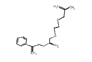 C=C(C)COCCOCC(=C)OCC(=C)c1ccccc1